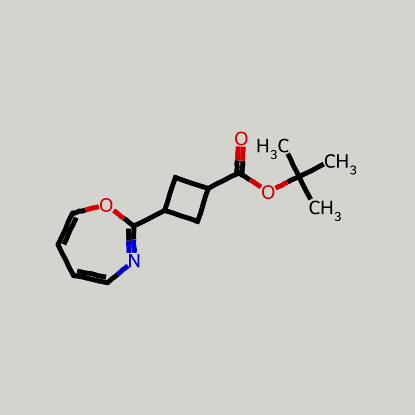 CC(C)(C)OC(=O)C1CC(C2=NC=CC=CO2)C1